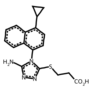 Nc1nnc(SCCC(=O)O)n1-c1ccc(C2CC2)c2ccccc12